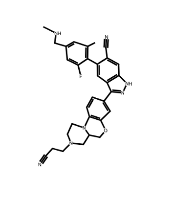 CNCc1cc(C)c(-c2cc3c(-c4ccc5c(c4)OCC4CN(CCC#N)CCN54)n[nH]c3cc2C#N)c(F)c1